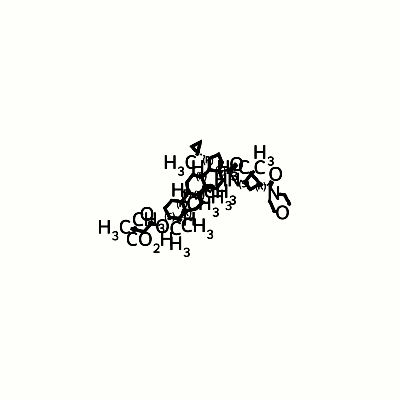 CC(C)(CC(=O)O[C@H]1CC[C@]2(C)[C@H]3CC[C@@H]4C5[C@H](C6(C)CC6)CC[C@]5(C(=O)N[C@H]5C[C@@H](C(=O)N6CCOCC6)C5(C)C)CC[C@@]4(C)[C@]3(C)CC[C@H]2C1(C)C)C(=O)O